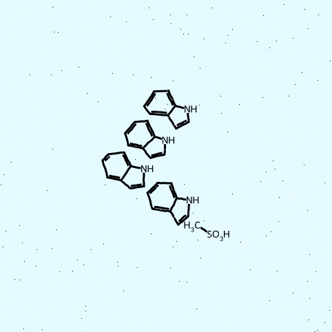 CS(=O)(=O)O.c1ccc2[nH]ccc2c1.c1ccc2[nH]ccc2c1.c1ccc2[nH]ccc2c1.c1ccc2[nH]ccc2c1